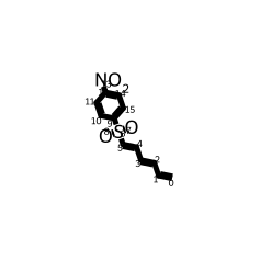 C=CC=CC=CS(=O)(=O)c1ccc([N+](=O)[O-])cc1